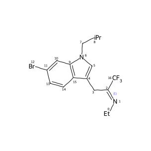 CC/N=C(\Cc1cn(CC(C)C)c2cc(Br)ccc12)C(F)(F)F